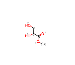 CCCOC(=O)C(O)CO